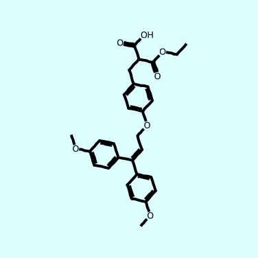 CCOC(=O)C(Cc1ccc(OCC=C(c2ccc(OC)cc2)c2ccc(OC)cc2)cc1)C(=O)O